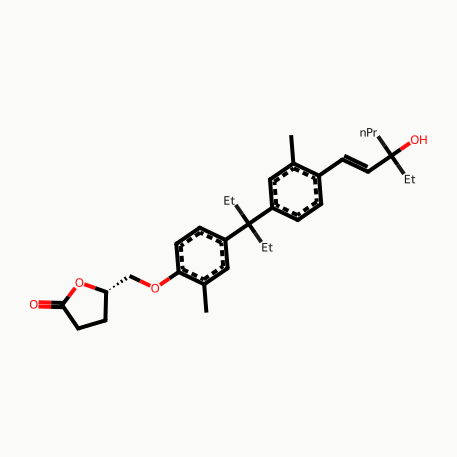 CCCC(O)(/C=C/c1ccc(C(CC)(CC)c2ccc(OC[C@@H]3CCC(=O)O3)c(C)c2)cc1C)CC